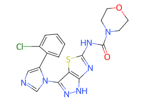 O=C(Nc1nc2[nH]nc(-n3cncc3-c3ccccc3Cl)c2s1)N1CCOCC1